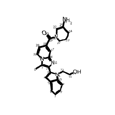 Cc1c(-c2cc3ccccc3n2CCO)nc2cc(C(=O)N3CCCC(N)C3)ccn12